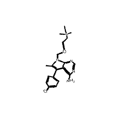 Cc1c(-c2ccc(Cl)cc2)c2c(N)ncnc2n1COCC[Si](C)(C)C